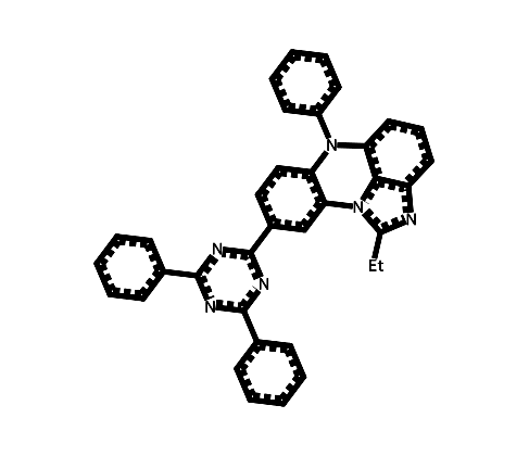 CCc1nc2cccc3c2n1-c1cc(-c2nc(-c4ccccc4)nc(-c4ccccc4)n2)ccc1N3c1ccccc1